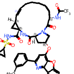 COc1cccc(-c2cc(O[C@@H]3C[C@H]4C(=O)N[C@]5(C(=O)NS(=O)(=O)C6CC6)C[C@H]5/C=C\CCCCC[C@H](NC(=O)C(F)(F)F)C(=O)N4C3)c3oc4ccccc4c3n2)c1